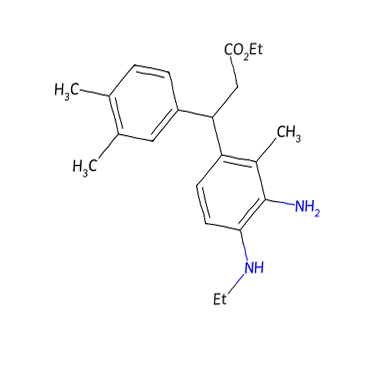 CCNc1ccc(C(CC(=O)OCC)c2ccc(C)c(C)c2)c(C)c1N